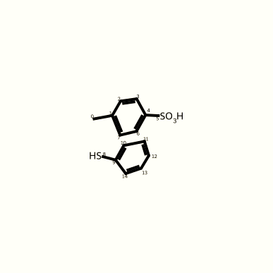 Cc1ccc(S(=O)(=O)O)cc1.Sc1ccccc1